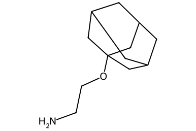 NCCOC12CC3CC(CC(C3)C1)C2